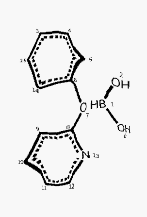 OBO.c1ccc(Oc2ccccn2)cc1